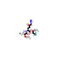 CO[C@H](C)C(=O)N[C@@H](CCC(=O)C=[N+]=[N-])C(=O)O[C@H](C)CC(F)(F)F